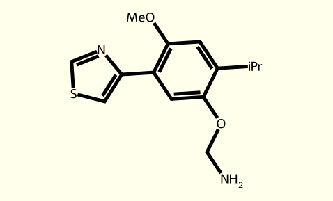 COc1cc(C(C)C)c(OCN)cc1-c1cscn1